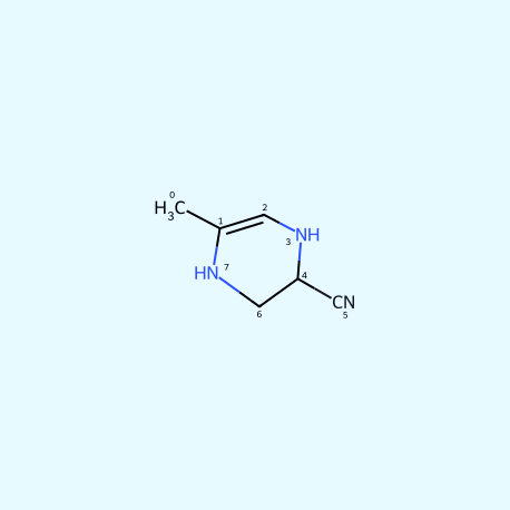 CC1=CNC(C#N)CN1